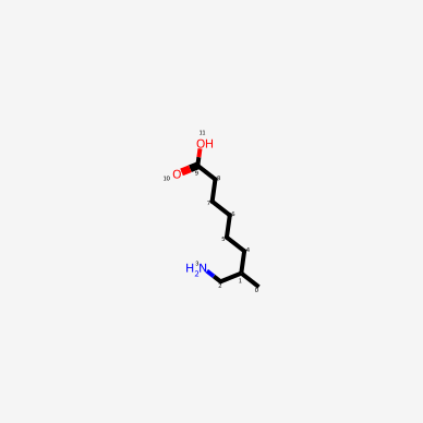 CC(CN)CCCCCC(=O)O